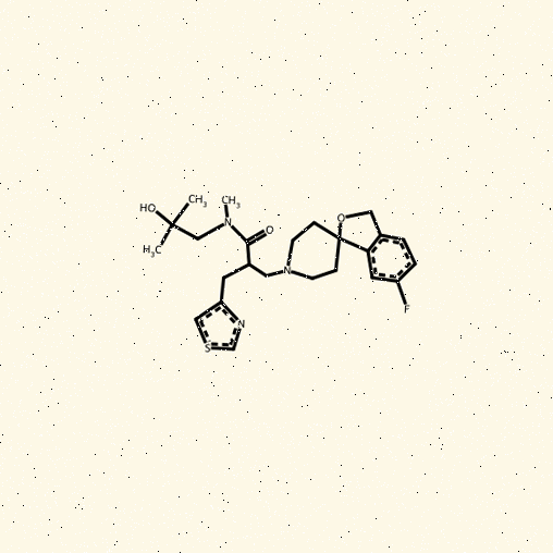 CN(CC(C)(C)O)C(=O)C(Cc1cscn1)CN1CCC2(CC1)OCc1ccc(F)cc12